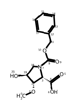 CO[C@H]1[C@@H](C(=O)O)N(C(=O)OCc2ccccc2)C[C@@H]1O